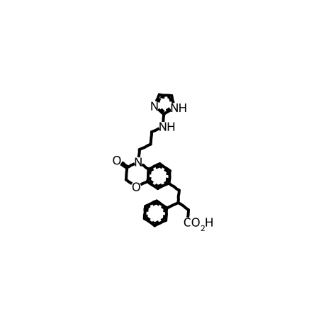 O=C(O)CC(Cc1ccc2c(c1)OCC(=O)N2CCCNc1ncc[nH]1)c1ccccc1